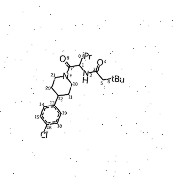 CC(C)C(NC(=O)CC(C)(C)C)C(=O)N1CCC(c2ccc(Cl)cc2)CC1